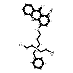 O=c1c2ccccc2sc2c(OCCC[N+](CCO)(CCO)Cc3ccccc3)ccc(Cl)c12